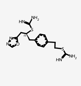 N=C(N)SCCc1ccc(C[C@@H](Cc2nnco2)SC(=N)N)cc1